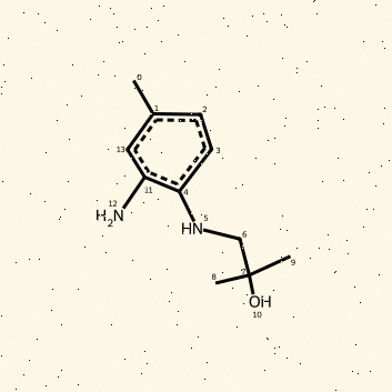 Cc1ccc(NCC(C)(C)O)c(N)c1